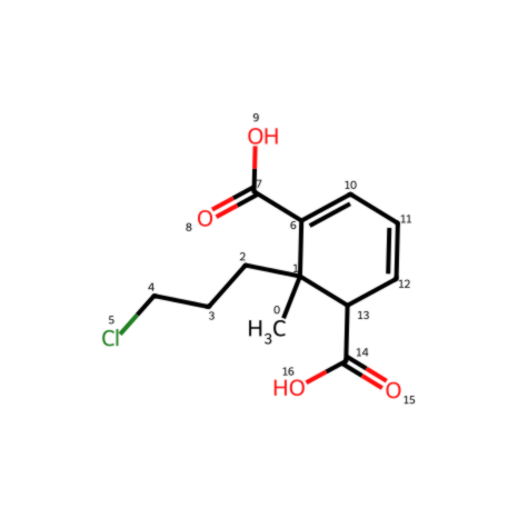 CC1(CCCCl)C(C(=O)O)=CC=CC1C(=O)O